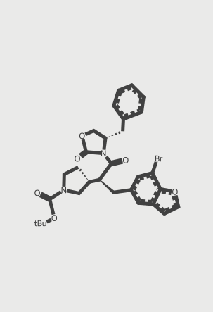 CC(C)(C)OC(=O)N1CC[C@H]([C@H](Cc2cc(Br)c3occc3c2)C(=O)N2C(=O)OC[C@@H]2Cc2ccccc2)C1